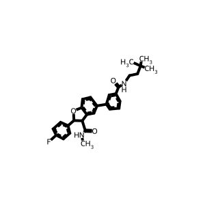 CNC(=O)C1c2cc(-c3cccc(C(=O)NCCC(C)(C)C)c3)ccc2OC1c1ccc(F)cc1